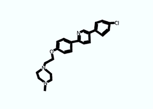 CN1CCN(CCOc2ccc(-c3ccc(-c4ccc(Cl)cc4)cn3)cc2)CC1